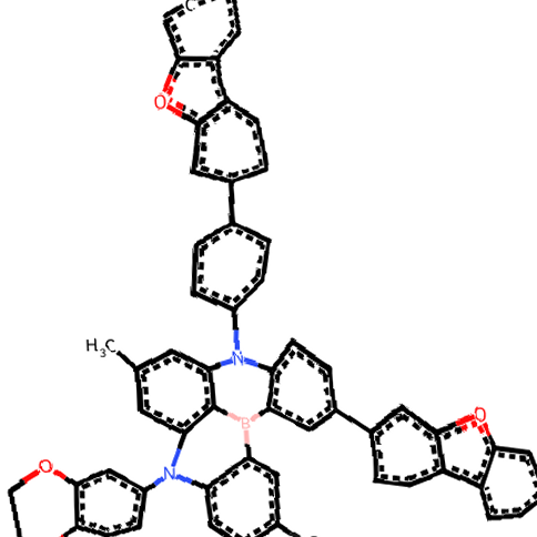 Cc1cc2c3c(c1)N(c1ccc4c(c1)OCCO4)c1ccc(C(C)(C)C)cc1B3c1cc(-c3ccc4c(c3)oc3ccccc34)ccc1N2c1ccc(-c2ccc3c(c2)oc2ccccc23)cc1